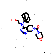 O=C(N1CCOCC1)N1CCc2c(ncnc2N(CCO)C2C3CC4CC(C3)CC2C4)C1